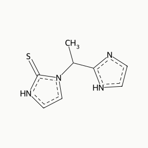 CC(c1ncc[nH]1)n1cc[nH]c1=S